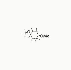 COC1C(C)(C)C(C)C2(CCC(C)(C)O2)C(C)C1(C)C